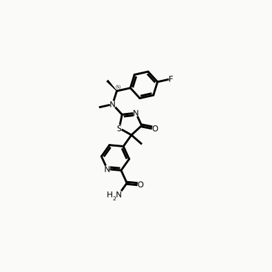 C[C@@H](c1ccc(F)cc1)N(C)C1=NC(=O)C(C)(c2ccnc(C(N)=O)c2)S1